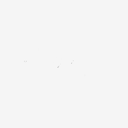 CCOC(=O)C(F)=C1CC[C@H]2[C@@H]3CC=C4C(CC)=C(OC)CC[C@]4(C)[C@H]3CC[C@]12C